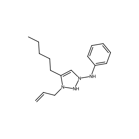 C=CCN1NN(Nc2ccccc2)C=C1CCCCC